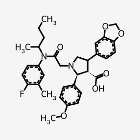 CCCC(C)N(C(=O)CN1CC(c2ccc3c(c2)OCO3)[C@H](C(=O)O)[C@H]1c1ccc(OC)cc1)c1ccc(F)c(C)c1